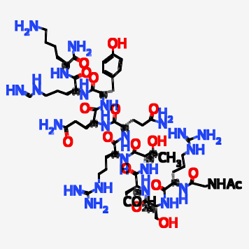 CC(=O)NCC(=O)N[C@@H](CCCNC(=N)N)C(=O)N[C@@H](CO)C(=O)N[C@@H](CC(=O)O)C(=O)N[C@H](C(=O)N[C@@H](CCCNC(=N)N)C(=O)N[C@@H](CCC(N)=O)C(=O)N[C@@H](CCC(N)=O)C(=O)N[C@@H](Cc1ccc(O)cc1)C(=O)N[C@@H](CCCNC=N)C(=O)N[C@@H](CCCCN)C(N)=O)[C@@H](C)O